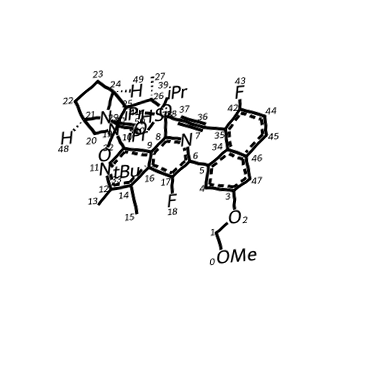 COCOc1cc(-c2nc3c4c(nc(C)c(C)c4c2F)N2C[C@H]4CC[C@@H]([C@H]2[C@H](C)O3)N4C(=O)OC(C)(C)C)c2c(C#C[Si](C(C)C)(C(C)C)C(C)C)c(F)ccc2c1